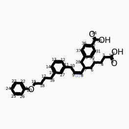 O=C(O)CCCCC(/C=C\Cc1cccc(CCCCOc2ccccc2)c1)Cc1ccc(C(=O)O)cc1